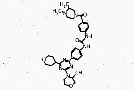 CC1CN(C(=O)c2ccc(NC(=O)Nc3ccc(-c4nc(C5CCOCC5)nc(N5CCOCC5C)n4)cc3)cc2)CCN1C